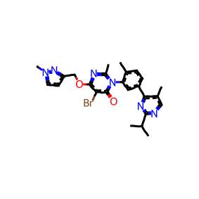 Cc1ccc(-c2nc(C(C)C)ncc2C)cc1-n1c(C)nc(OCc2ccn(C)n2)c(Br)c1=O